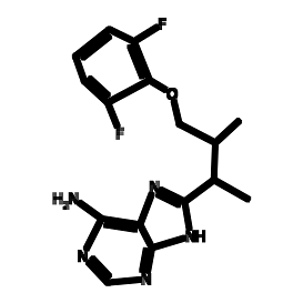 CC(COc1c(F)cccc1F)C(C)c1nc2c(N)ncnc2[nH]1